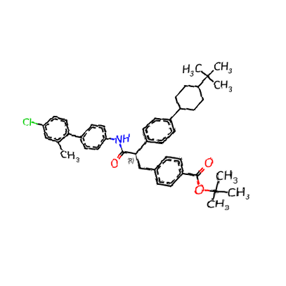 Cc1cc(Cl)ccc1-c1ccc(NC(=O)[C@H](Cc2ccc(C(=O)OC(C)(C)C)cc2)c2ccc(C3CCC(C(C)(C)C)CC3)cc2)cc1